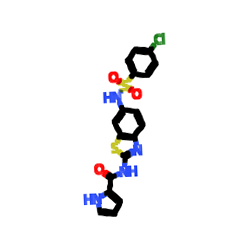 O=C(Nc1nc2ccc(NS(=O)(=O)c3ccc(Cl)cc3)cc2s1)c1ccc[nH]1